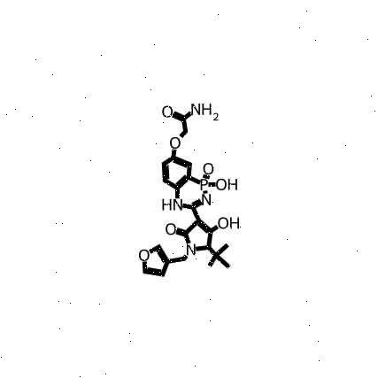 CC(C)(C)C1C(O)=C(C2=NP(=O)(O)c3cc(OCC(N)=O)ccc3N2)C(=O)N1Cc1ccoc1